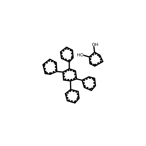 Oc1ccccc1O.c1ccc(-c2cc(-c3ccccc3)c(-c3ccccc3)cc2-c2ccccc2)cc1